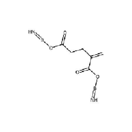 C=C(CCC(=O)OB=N)C(=O)OB=N